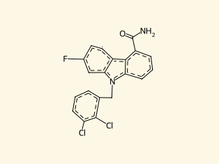 NC(=O)c1cccc2c1c1[c]cc(F)cc1n2Cc1cccc(Cl)c1Cl